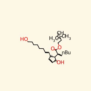 CCCCC=C(C(=O)OCC[Si](C)(C)C)C1[C@H](C=CCCCCCCO)C=C[C@H]1O